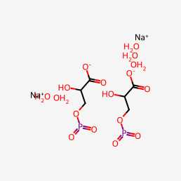 O.O.O.O.O.O=C([O-])C(O)COP(=O)=O.O=C([O-])C(O)COP(=O)=O.[Na+].[Na+]